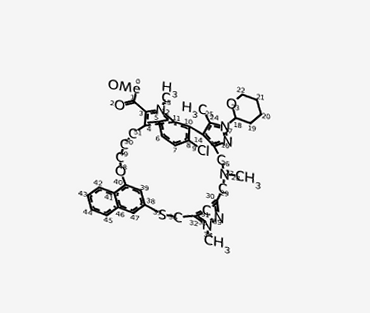 COC(=O)c1c2c3ccc(Cl)c(c3n1C)-c1c(nn(C3CCCCO3)c1C)CN(C)Cc1cc(n(C)n1)CSc1cc(c3ccccc3c1)OCCC2